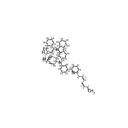 C=C/C=C\C=C/Cc1cccc(-c2cccc(N3c4ccc5c6ccccc6n(/C(=C/C)c6ccccc6CC)c5c4C(C=C)C3/C=C\C)c2)n1